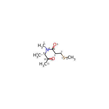 CSCCC(=O)N(C)[C@@H](C)C(C)=O